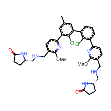 COc1nc(-c2cccc(-c3cc(C)cc(-c4ccc(CNC[C@@H]5CCC(=O)N5)c(OC)n4)c3Cl)c2Cl)ccc1CNC[C@@H]1CCC(=O)N1